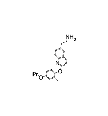 Cc1cc(OC(C)C)ccc1Oc1ccc2cc(CCN)ccc2n1